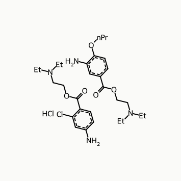 CCCOc1ccc(C(=O)OCCN(CC)CC)cc1N.CCN(CC)CCOC(=O)c1ccc(N)cc1Cl.Cl